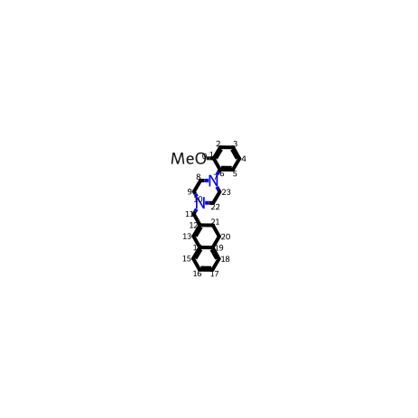 COc1ccccc1N1CCN(CC2=Cc3ccccc3CC2)CC1